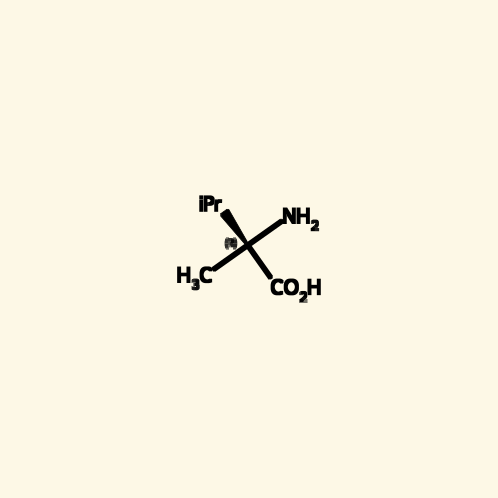 CC(C)[C@@](C)(N)C(=O)O